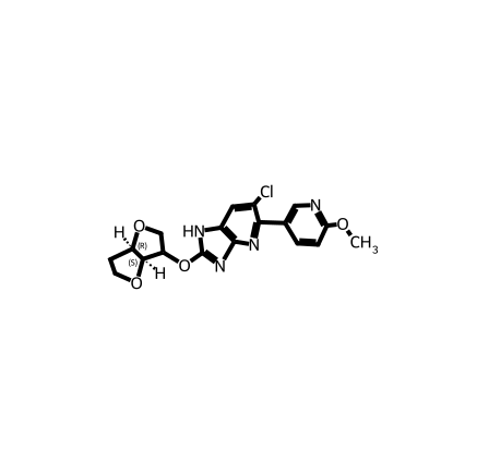 COc1ccc(-c2nc3nc(OC4CO[C@@H]5CCO[C@H]45)[nH]c3cc2Cl)cn1